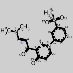 CN(C)/C=C/C(=O)c1nn(-c2cncc(S(C)(=O)=O)c2)ccc1=O